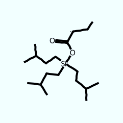 CC[CH]C(=O)O[Si](CCC(C)C)(CCC(C)C)CCC(C)C